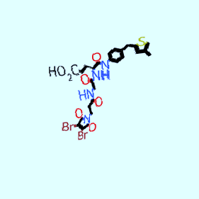 Cc1csc(Cc2ccc(NC(=O)[C@H](CCC(=O)O)NC(=O)CNC(=O)CCN3C(=O)C(Br)=C(Br)C3=O)cc2)c1